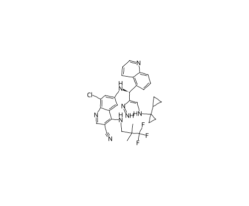 CC(C)(CNc1c(C#N)cnc2c(Cl)cc(N[C@H](/C(=C/NC3(C4CC4)CC3)N=N)c3cccc4ncccc34)cc12)C(F)(F)F